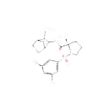 C[C@@]1(C(=O)NC2C3CCC(C3)C2C(=O)O)CCCN1S(=O)(=O)c1cc(Cl)cc(Cl)c1